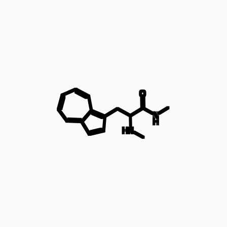 CNC(=O)C(Cc1ccc2cccccc1-2)NC